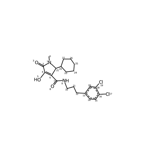 CN1C(=O)C(O)=C(C(=O)NCCCc2ccc(Cl)c(Cl)c2)C1C1CCCCC1